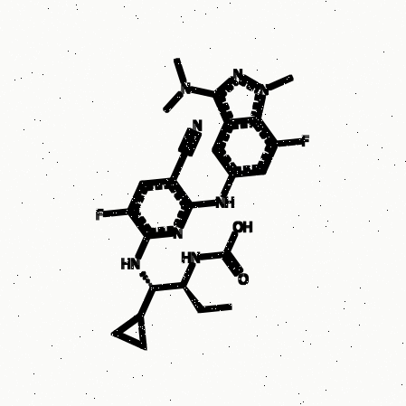 CC[C@H](NC(=O)O)[C@@H](Nc1nc(Nc2cc(F)c3c(c2)c(N(C)C)nn3C)c(C#N)cc1F)C1CC1